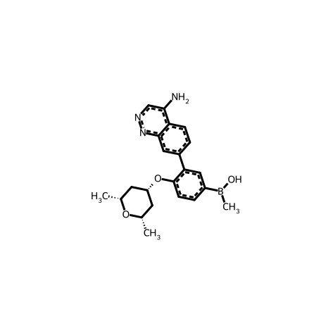 CB(O)c1ccc(O[C@H]2C[C@@H](C)O[C@@H](C)C2)c(-c2ccc3c(N)cnnc3c2)c1